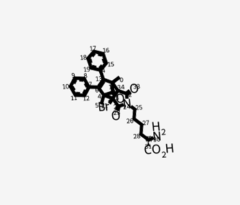 CC12C(=O)C(C)(C(c3ccccc3)=C1c1ccccc1)C1(Br)C(=O)N(CCCC[C@H](N)C(=O)O)C(=O)C21